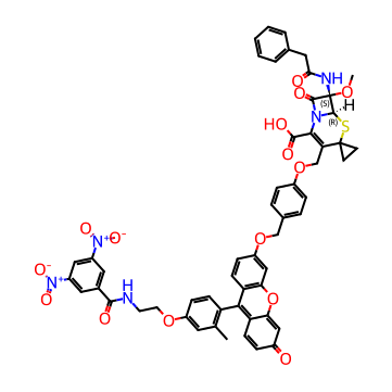 CO[C@@]1(NC(=O)Cc2ccccc2)C(=O)N2C(C(=O)O)=C(COc3ccc(COc4ccc5c(-c6ccc(OCCNC(=O)c7cc([N+](=O)[O-])cc([N+](=O)[O-])c7)cc6C)c6ccc(=O)cc-6oc5c4)cc3)C3(CC3)S[C@@H]21